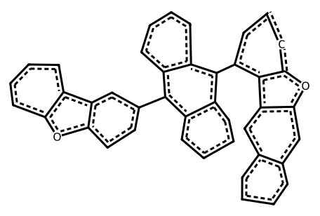 c1ccc2cc3c(cc2c1)oc1cccc(-c2c4ccccc4c(-c4ccc5oc6ccccc6c5c4)c4ccccc24)c13